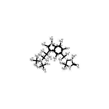 [2H]c1c(C([2H])([2H])[C@@H]2N([2H])C(=O)OC2([2H])[2H])c([2H])c2c(C([2H])([2H])C([2H])([2H])N(C([2H])([2H])[2H])C([2H])([2H])[2H])c([2H])n([2H])c2c1[2H]